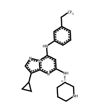 FC(F)(F)Cc1cccc(Nc2cc(N[C@H]3CCCNC3)nc3c(C4CC4)cnn23)c1